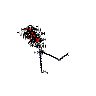 CCCCCCCC/C=C\CCCCCCCCCCCCCC(=O)N[C@@H](CO[C@@H]1OC(CO)[C@@H](O[C@@H]2OC(CO)[C@H](O[C@@H]3OC(CO)[C@H](O)[C@H](O[C@@H]4OC(CO)[C@H](O[C@@H]5OC(CO)[C@H](O)[C@H](O)C5NC(C)=O)[C@H](O[C@]5(C(=O)O)CC(O)[C@@H](NC(C)=O)C([C@H](O)[C@H](O)CO)O5)C4O)C3NC(C)=O)[C@H](O[C@]3(C(=O)O)CC(O)[C@@H](NC(=O)CO)C([C@H](O)[C@H](O)CO)O3)C2O)[C@H](O)C1O)[C@H](O)/C=C/CCCCCCCCCCCCC